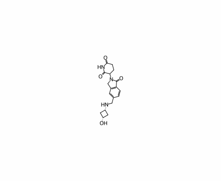 O=C1CCC(N2Cc3cc(CN[C@H]4C[C@@H](O)C4)ccc3C2=O)C(=O)N1